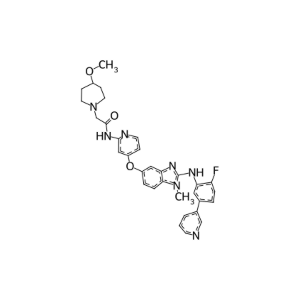 COC1CCN(CC(=O)Nc2cc(Oc3ccc4c(c3)nc(Nc3cc(-c5cccnc5)ccc3F)n4C)ccn2)CC1